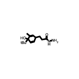 CC1=CC(CCC(=O)NN)C=CC1(O)C(C)(C)C